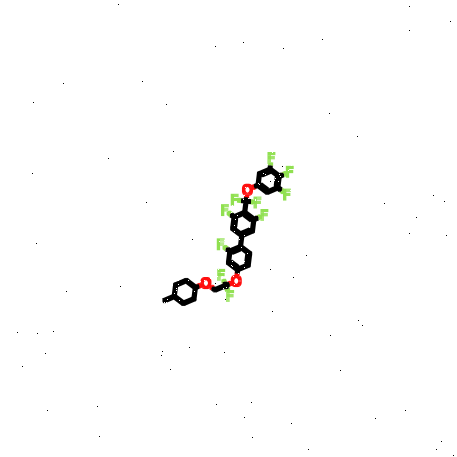 CC1CCC(OCC(F)(F)Oc2ccc(-c3cc(F)c(C(F)(F)Oc4cc(F)c(F)c(F)c4)c(F)c3)c(F)c2)CC1